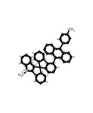 Cc1ccc(-c2c3ccccc3c(-c3cccc4c3-c3ccccc3C43c4ccccc4-c4c3c3ccccc3n4C)c3ccccc23)cc1